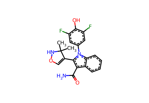 CC1(C)NOC=C1c1c(C(N)=O)c2ccccc2n1-c1cc(F)c(O)c(F)c1